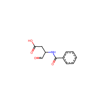 O=CC(CC(=O)O)NC(=O)c1ccccc1